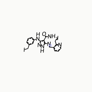 NC(=O)c1c(Nc2cccc(CI)c2)n[nH]c1/N=C/c1cccnc1CI